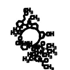 C=CC(=O)N1C[C@H](C)[C@](O)(C(=O)N(C)[C@H](C(=O)N[C@H]2Cc3cc(O)cc(c3)-c3ccc4c(c3)c(c(-c3ccccc3CCOC)n4CC)CC(C)(C)COC(=O)[C@@H]3CCCN(N3)C2=O)C(C)C)C1